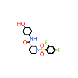 O=C(NC1CCC(O)CC1)[C@H]1CCCN(S(=O)(=O)c2ccc(F)cc2F)C1